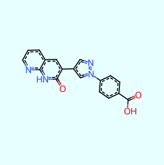 O=C(O)c1ccc(-n2cc(-c3cc4cccnc4[nH]c3=O)cn2)cc1